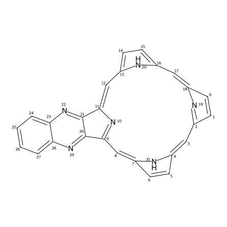 C1=Cc2cc3ccc(cc4nc(cc5ccc(cc1n2)[nH]5)-c1nc2ccccc2nc1-4)[nH]3